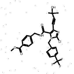 COC(=O)c1ccc(CNC(=O)c2c(C#CC(C)(C)O)nc(Cl)n2Cc2ccc(C(F)(F)F)cc2)cc1